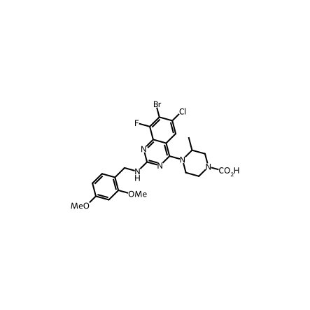 COc1ccc(CNc2nc(N3CCN(C(=O)O)CC3C)c3cc(Cl)c(Br)c(F)c3n2)c(OC)c1